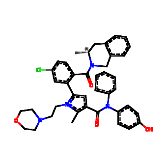 Cc1c(C(=O)N(c2ccccc2)c2ccc(O)cc2)cc(-c2cc(Cl)ccc2C(=O)N2Cc3ccccc3C[C@H]2C)n1CCN1CCOCC1